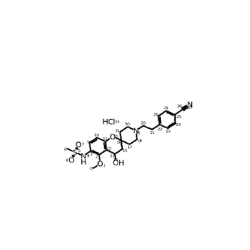 COc1c(NS(C)(=O)=O)ccc2c1C(O)CC1(CCN(CCc3ccc(C#N)cc3)CC1)O2.Cl